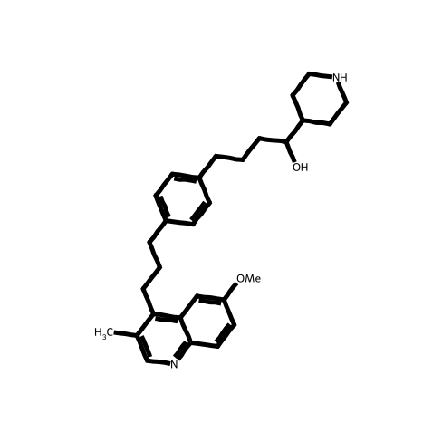 COc1ccc2ncc(C)c(CCCc3ccc(CCCC(O)C4CCNCC4)cc3)c2c1